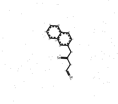 [Se]=CCC(=[Se])Cc1ccc2ccccc2c1